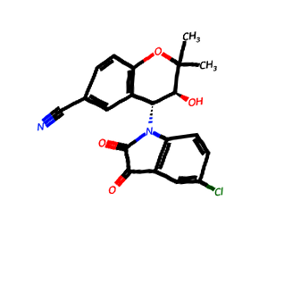 CC1(C)Oc2ccc(C#N)cc2[C@@H](N2C(=O)C(=O)c3cc(Cl)ccc32)[C@@H]1O